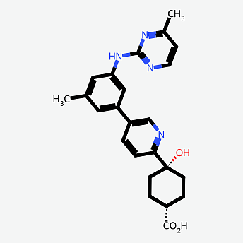 Cc1cc(Nc2nccc(C)n2)cc(-c2ccc([C@]3(O)CC[C@@H](C(=O)O)CC3)nc2)c1